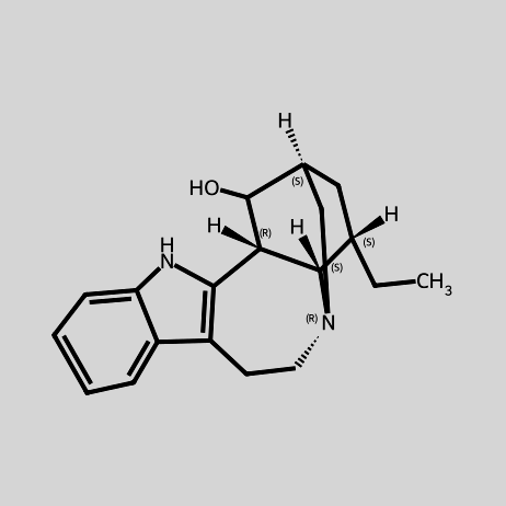 CC[C@H]1C[C@H]2C[N@]3CCc4c([nH]c5ccccc45)[C@H](C2O)[C@H]13